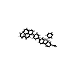 N#Cc1ccc2c3ccc(-c4ccc(-c5ccc6ccc7cccc8ccc5c6c78)cc4)cc3n(-c3ccccc3)c2c1